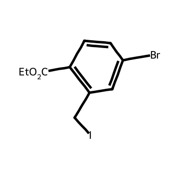 CCOC(=O)c1ccc(Br)cc1CI